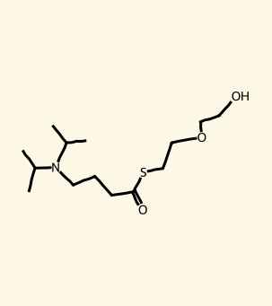 CC(C)N(CCCC(=O)SCCOCCO)C(C)C